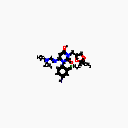 CN(C)C=Nc1cc(=O)n(C[C@H]2COC(C)(C)O2)c(=O)n1-c1ccc(I)cc1F